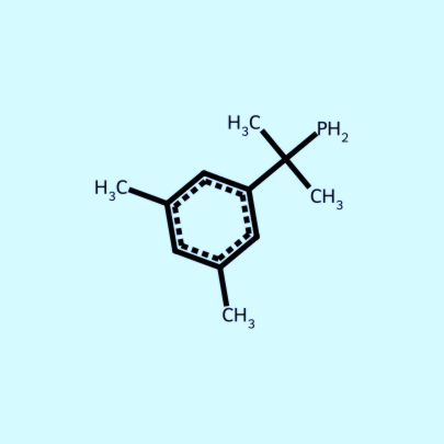 Cc1cc(C)cc(C(C)(C)P)c1